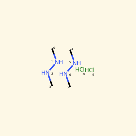 CNNC.CNNC.Cl.Cl